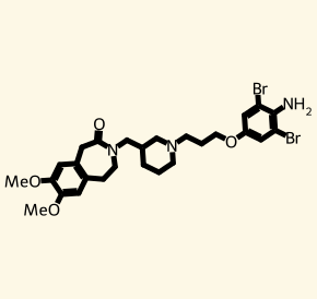 COc1cc2c(cc1OC)CC(=O)N(CC1CCCN(CCCOc3cc(Br)c(N)c(Br)c3)C1)CC2